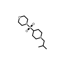 C[C](C)CN1CCC(S(=O)(=O)N2CCOCC2)CC1